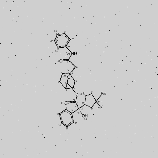 O=C(C[N+]12CCC(CC1)C(OC(=O)[C@](O)(c1ccccc1)C1CCC(F)(F)C1)C2)Nc1ccncn1